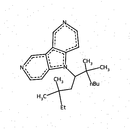 CCCCC(C)(C)C(CC(C)(C)CC)n1c2ccncc2c2cnccc21